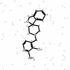 Nc1nccc(CN2CCC3(CC2)OCc2ccccc23)c1Cl